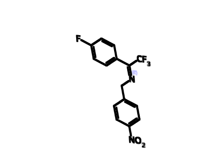 O=[N+]([O-])c1ccc(C/N=C(\c2ccc(F)cc2)C(F)(F)F)cc1